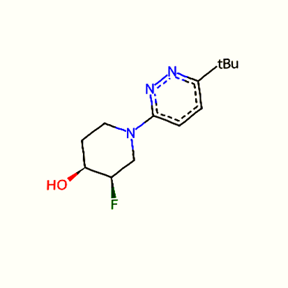 CC(C)(C)c1ccc(N2CC[C@H](O)[C@H](F)C2)nn1